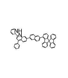 C1=CNC(c2cc(-c3ccccc3)c3ccc(-c4ccc5cc(-c6cccc7c6-c6ccccc6C76c7ccccc7-c7ccccc76)ccc5c4)cc3n2)C=C1